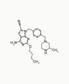 CCCCOc1nc(N)c2cc(C#N)n(Cc3ccc(CN4CCNC(C)C4)cc3)c2n1